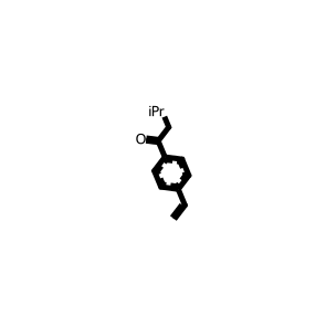 C=Cc1ccc(C(=O)CC(C)C)cc1